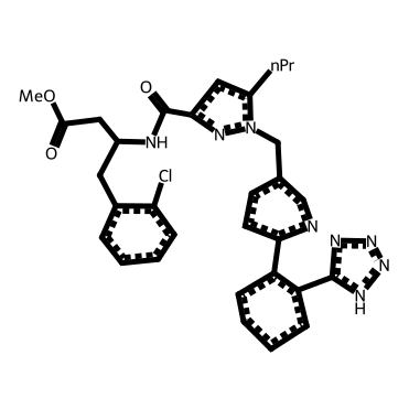 CCCc1cc(C(=O)NC(CC(=O)OC)Cc2ccccc2Cl)nn1Cc1ccc(-c2ccccc2-c2nnn[nH]2)nc1